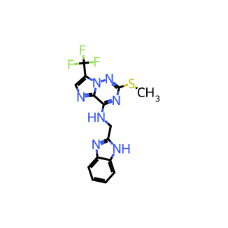 CSc1nc(NCc2nc3ccccc3[nH]2)c2ncc(C(F)(F)F)n2n1